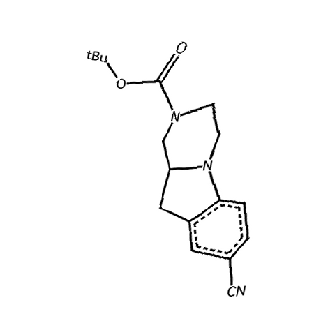 CC(C)(C)OC(=O)N1CCN2c3ccc(C#N)cc3CC2C1